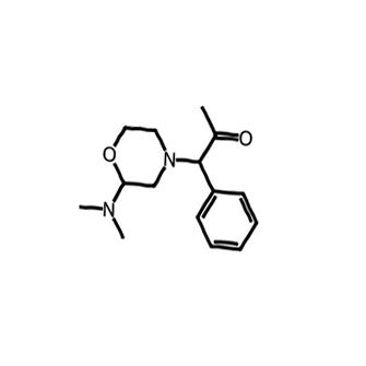 CC(=O)C(c1ccccc1)N1CCOC(N(C)C)C1